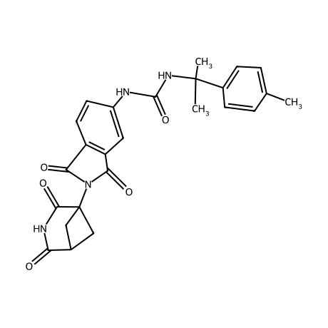 Cc1ccc(C(C)(C)NC(=O)Nc2ccc3c(c2)C(=O)N(C24CC(C2)C(=O)NC4=O)C3=O)cc1